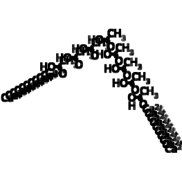 CC(=O)O.CC(=O)O.CC(=O)O.CC(=O)O.CC(=O)O.CC(=O)O.CC(=O)O.CC(=O)O.[Ca+2].[Ca+2].[Ca+2].[Ca+2].[Ca+2].[Ca+2].[Ca+2].[Ca+2].[Ca+2].[Ca+2].[Ca+2].[Ca+2].[Ca+2].[Ca+2].[Ca+2].[Ca+2].[Ca+2].[Ca+2].[Ca+2].[Ca+2].[Ca+2]